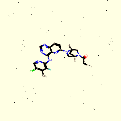 C=CC(=O)N1C[C@@H]2C[C@H]1CN2c1ccc2ncnc(Nc3ncc(Cl)c(C)c3F)c2n1